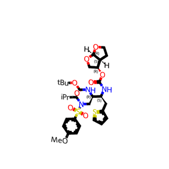 COc1ccc(S(=O)(=O)N(CC(C)C)C[C@@H](NC(=O)OC(C)(C)C)[C@H](Cc2cccs2)NC(=O)O[C@H]2CO[C@H]3OCC[C@H]32)cc1